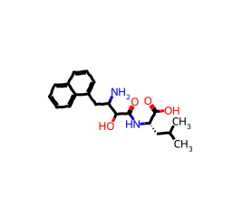 CC(C)C[C@H](NC(=O)C(O)C(N)Cc1cccc2ccccc12)C(=O)O